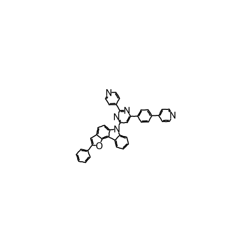 c1ccc(-c2cc3ccc4c(c5ccccc5n4-c4cc(-c5ccc(-c6ccncc6)cc5)nc(-c5ccncc5)n4)c3o2)cc1